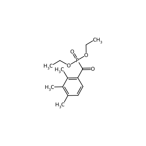 CCOP(=O)(OCC)C(=O)c1ccc(C)c(C)c1C